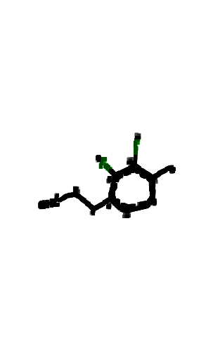 Cc1ccc(CCC=O)c(F)c1F